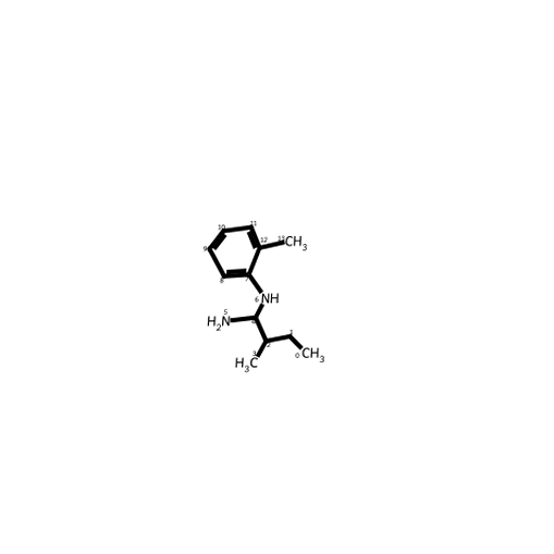 CCC(C)C(N)Nc1ccccc1C